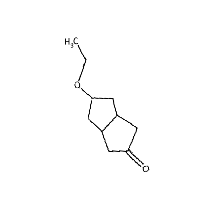 CCOC1CC2CC(=O)CC2C1